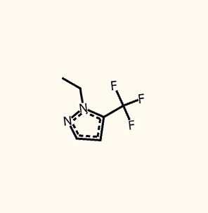 CCn1nccc1C(F)(F)F